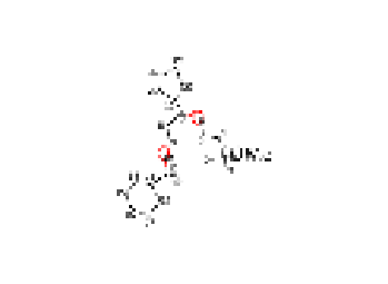 COC(C)(C)CCO[C@@H](CCO[C@@H](C)C1CCCCC1)C1CCCC1